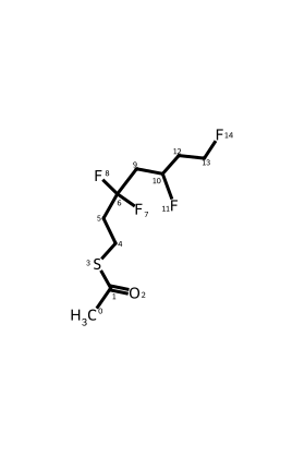 CC(=O)SCCC(F)(F)CC(F)CCF